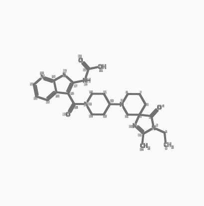 CCN1C(=O)C2(CCCN(C3CCN(C(=O)c4c(NC(=O)O)sc5ncccc45)CC3)C2)N=C1C